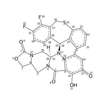 O=C1OCC2CN3C(=O)c4c(O)c(=O)ccn4N([C@@H]4c5ccccc5SCc5c4ccc(F)c5F)[C@@H]3CN12